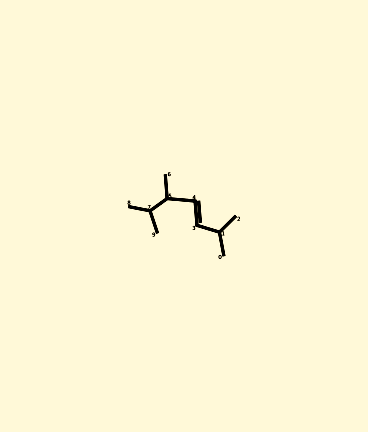 CC(C)C=CC(C)C(C)C